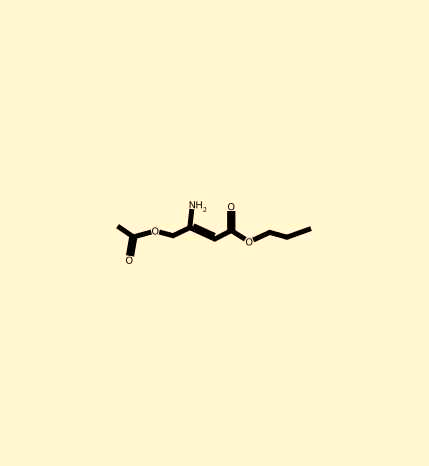 CCCOC(=O)/C=C(\N)COC(C)=O